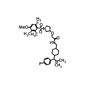 COc1cc(C)c(S(=O)(=O)N2CCC(OCC(=O)NCC3CCC(C(c4ccc(F)cc4)N(C)C)CC3)C2)c(C)c1C